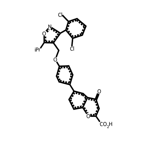 CC(C)c1onc(-c2c(Cl)cccc2Cl)c1COc1ccc(-c2ccc3oc(C(=O)O)cc(=O)c3c2)cc1